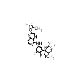 CC(C)Oc1cnc2c(Nc3cc(F)c(F)c([C@@]4(CF)N=C(N)SCC4C)c3)nccc2n1